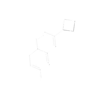 Clc1ccc2ccc(C3CCC3)cc2n1